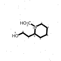 O=C(O)N1CCCCC1CCO